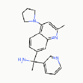 Cc1cc(N2CCCC2)c2ccc(C(C)(N)c3cccnc3)cc2n1